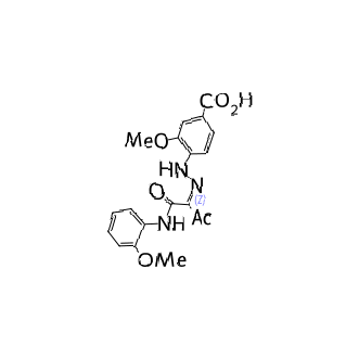 COc1cc(C(=O)O)ccc1N/N=C(/C(C)=O)C(=O)Nc1ccccc1OC